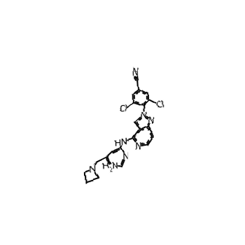 C=C(/C=C(\N=C/N)Nc1nccc2nn(-c3c(Cl)cc(C#N)cc3Cl)cc12)CN1CCC1